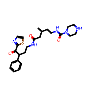 CC(CCNC(=O)N1CCNCC1)CC(=O)NCCC(C(=O)c1nccs1)c1ccccc1